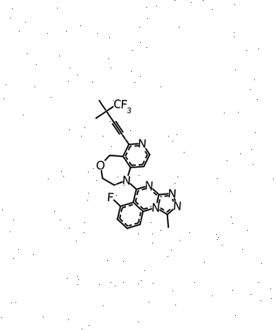 Cc1nnc2nc(N3CCOCc4c3ccnc4C#CC(C)(C)C(F)(F)F)c3c(F)cccc3n12